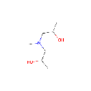 CC(O)CN(C)CC(C)O